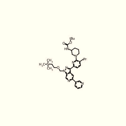 CC(C)c1ccc(-c2nn(COCC[Si](C)(C)C)c3cnc(-c4cccnc4)cc23)nc1N1CCCC(NC(=O)OC(C)(C)C)C1